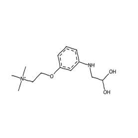 C[N+](C)(C)CCOc1cccc(NCC(O)O)c1